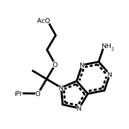 CC(=O)OCCOC(C)(OC(C)C)n1cnc2cnc(N)nc21